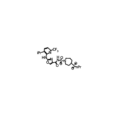 CCCS(=O)(=O)C1CCCN(S(=O)(=O)NC(=O)c2coc(Nc3nc(C(F)(F)F)ccc3C(C)C)n2)CC1